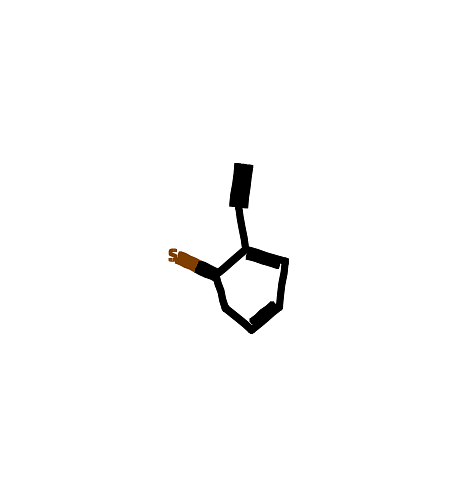 C#CC1=CC=CCC1=S